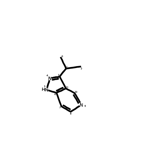 CC(C)c1n[nH]c2ccncc12